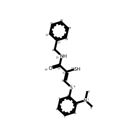 CN(C)c1ccccc1SC=C(S)C(=O)NCc1ccccc1